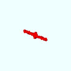 Cc1cc(-c2ccc3c(c2)C(C)(C)c2cc(-c4ccc5c(c4)C(C)(C)c4ccccc4-5)ccc2-3)cc(C)c1-c1ccc(N(c2ccccc2)c2c3ccccc3c(N(c3ccccc3)c3ccc(-c4c(C)cc(-c5ccc6c(c5)C(C)(C)c5cc(-c7ccc8c(c7)C(C)(C)c7ccccc7-8)ccc5-6)cc4C)cc3)c3ccccc23)cc1